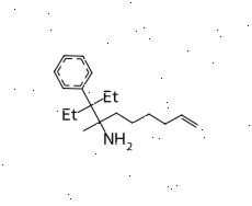 C=CCCCCC(C)(N)C(CC)(CC)c1ccccc1